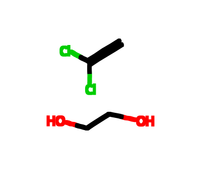 C=C(Cl)Cl.OCCO